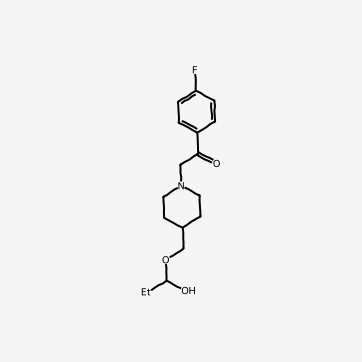 CCC(O)OCC1CCN(CC(=O)c2ccc(F)cc2)CC1